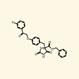 O=C1NC(=O)[C@@](Cc2ccc(OCC(=O)c3cccc(F)c3)cc2)(C(=O)OCc2ccccc2)S1